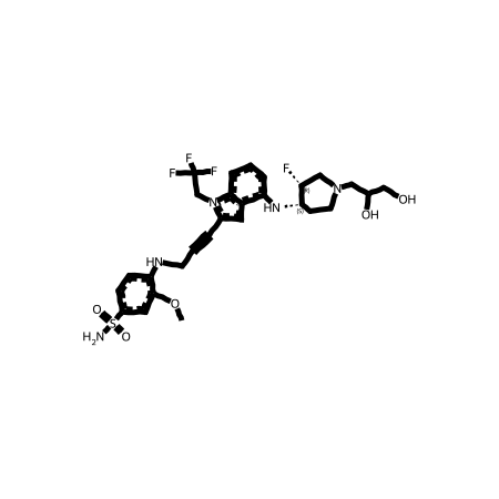 COc1cc(S(N)(=O)=O)ccc1NCC#Cc1cc2c(N[C@H]3CCN(CC(O)CO)C[C@H]3F)cccc2n1CC(F)(F)F